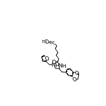 CCCCCCCCCCCCCCCC(=O)NC(CNCc1ccco1)Cc1ccc2c(c1)OCCO2